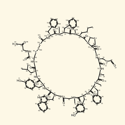 CCCC[C@H]1C(=O)N2CSC[C@@H]2C(=O)N[C@@H](COC=O)C(=O)N[C@@H](C)C(=O)N(C)[C@@H](Cc2ccccc2)C(=O)N[C@@H](Cc2ccc(O)cc2)C(=O)N(C)CC(=O)N[C@@H](Cc2c[nH]c3ccccc23)C(=O)N[C@@H](Cc2ccc(O)cc2)C(=O)N[C@@H](CC(C)C)C(=O)N[C@H](C(=O)NCC(N)=O)CSCC(=O)N[C@@H](Cc2ccccc2)C(=O)N(C)[C@@H](Cc2ccccc2)C(=O)N1C